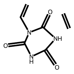 C=C.C=Cn1c(=O)[nH]c(=O)[nH]c1=O